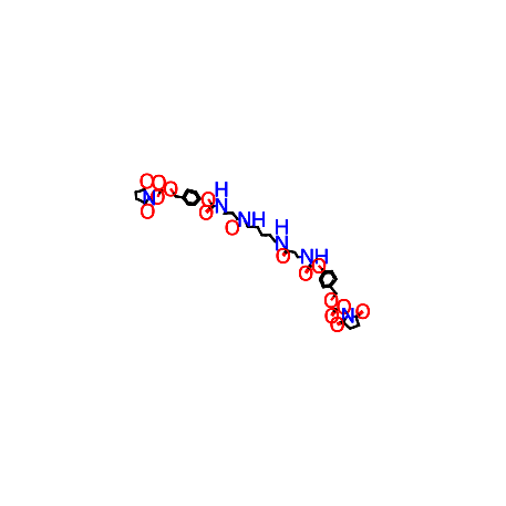 O=C(CCNC(=O)Oc1ccc(COC(=O)ON2C(=O)CCC2=O)cc1)NCCCCCNC(=O)CCNC(=O)Oc1ccc(COC(=O)ON2C(=O)CCC2=O)cc1